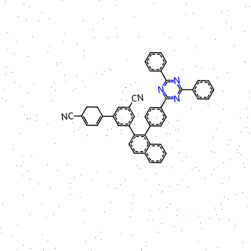 N#CC1=CC=C(c2cc(C#N)cc(-c3ccc4ccccc4c3-c3ccc(-c4nc(-c5ccccc5)nc(-c5ccccc5)n4)cc3)c2)CC1